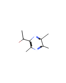 Cc1nc(C)c(C(C)Br)nc1C